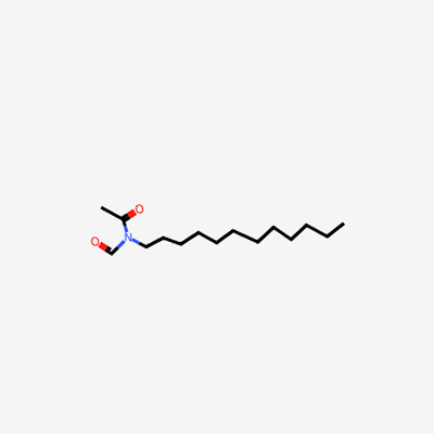 CCCCCCCCCCCCN(C=O)C(C)=O